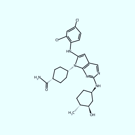 C[C@@H]1CC[C@@H](Nc2ncc3cc(Nc4ccc(Cl)cc4Cl)n([C@H]4CC[C@@H](C(N)=O)CC4)c3n2)C[C@H]1O